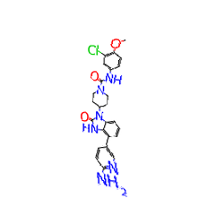 COc1ccc(NC(=O)N2CCC(n3c(=O)[nH]c4c(-c5ccc(N)nc5)cccc43)CC2)cc1Cl